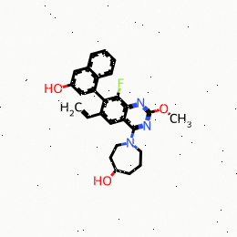 C=Cc1cc2c(N3CCCC(O)CC3)nc(OC)nc2c(F)c1-c1cc(O)cc2ccccc12